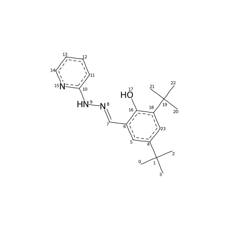 CC(C)(C)c1cc(/C=N/Nc2ccccn2)c(O)c(C(C)(C)C)c1